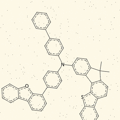 CC1(C)c2ccc(N(c3ccc(-c4ccccc4)cc3)c3ccc(-c4cccc5c4oc4ccccc45)cc3)cc2-c2c1ccc1c2sc2ccccc21